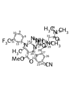 COC(=O)C1=C(C)N(c2cccc(C(F)(F)F)c2)c2n[nH]c(=O)n2[C@@H]1c1ccc(C#N)cc1CC[N+](C)(C)CC(=O)N(C)C